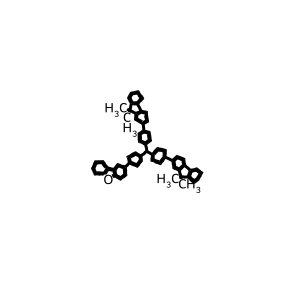 CC1(C)c2ccccc2-c2ccc(-c3ccc(C(c4ccc(-c5ccc6c(c5)C(C)(C)c5ccccc5-6)cc4)c4ccc(-c5ccc6oc7ccccc7c6c5)cc4)cc3)cc21